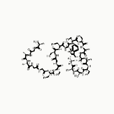 CC[C@H](C)[C@H](NC(=O)[C@@H](NC(=O)[C@H](C)NC(=O)[C@H](CC(C)C)NC(=O)[C@@H](NC(=O)[C@H](Cc1c[nH]c2ccccc12)NC(=O)[C@@H](NC(=O)[C@H](CC(C)C)NC(=O)[C@H](CC(C)C)NC(=O)[C@@H](NC(=O)[C@H](CC(C)C)NC(=O)[C@H](CO)NC(=O)CNC(=O)[C@H](CC(C)C)NC(=O)[C@H](CC(C)C)NC(=O)CNC(=O)CNC(=O)[C@@H](NC(=O)[C@@H](NC(=O)CNC(=O)[C@@H](N)C(C)C)C(C)C)C(C)C)C(C)C)C(C)C)C(C)C)C(C)C)C(=O)O